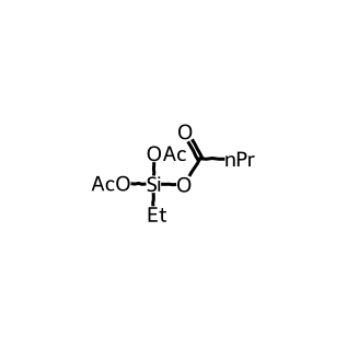 CCCC(=O)O[Si](CC)(OC(C)=O)OC(C)=O